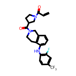 C=CC(=O)N1CCC(C(=O)N2CCc3c(cccc3Nc3ccc(C(F)(F)F)cc3F)C2)C1